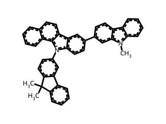 Cn1c2ccccc2c2ccc(-c3ccc4c(c3)c3ccc5ccccc5c3n4-c3ccc4c(c3)-c3ccccc3C4(C)C)cc21